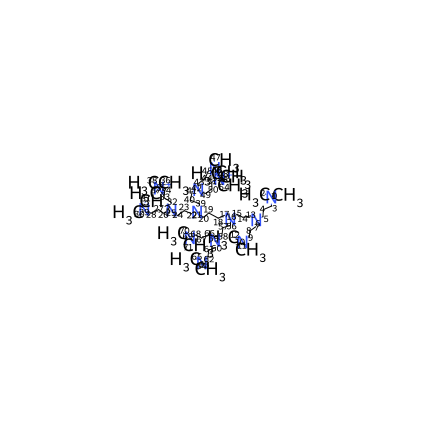 CN(C)CCCN(CCCN(C)C)CCCN(CCCCN(CCCN(CCCN(C)C)CCC[N+](C)(C)C)CCCN(CCCN(C)C)CCC[N+](C)(C)C)CCCN(CCCN(C)C)CCCN(C)C